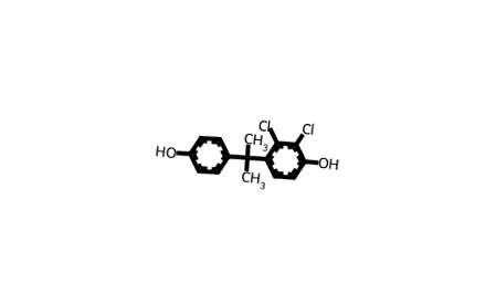 CC(C)(c1ccc(O)cc1)c1ccc(O)c(Cl)c1Cl